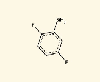 Fc1ccc(F)c([SiH3])c1